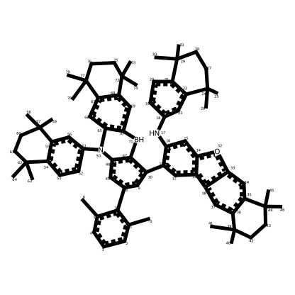 Cc1cccc(C)c1-c1cc(-c2cc3c(cc2Nc2ccc4c(c2)C(C)(C)CCC4(C)C)oc2cc4c(cc23)C(C)(C)CCC4(C)C)c2c(c1)N(c1ccc3c(c1)C(C)(C)CCC3(C)C)c1cc3c(cc1B2)C(C)(C)CCC3(C)C